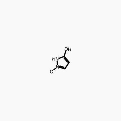 [O-][n+]1ccc(O)[nH]1